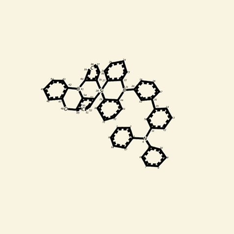 c1ccc(N(c2ccccc2)c2cccc(-c3cccc(B4c5ccccc5[Si]5(c6ccccc64)c4ccccc4B4c6ccccc6Oc6cccc5c64)c3)c2)cc1